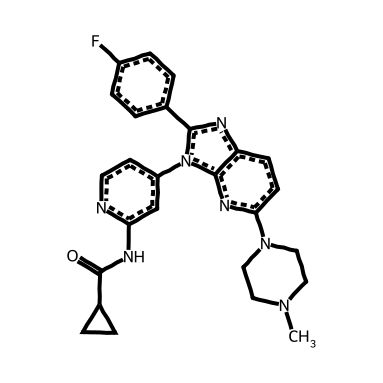 CN1CCN(c2ccc3nc(-c4ccc(F)cc4)n(-c4ccnc(NC(=O)C5CC5)c4)c3n2)CC1